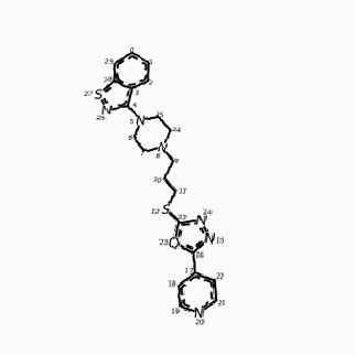 c1ccc2c(N3CCN(CCCSc4nnc(-c5ccncc5)o4)CC3)nsc2c1